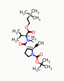 C#C[C@@H]1[C@@H](C(=O)N(C)[C@H](C(=O)OCC[Si](C)(C)C)C(C)C)CCN1C(=O)OC(C)(C)C